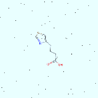 O=C(O)CCCc1cscn1